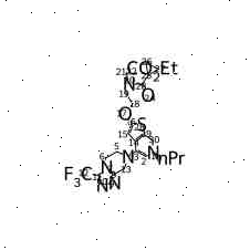 CCCN1C=C(N2CCn3c(nnc3C(F)(F)F)C2)c2cc(OCCN(CC(=O)OCC)C(=O)C3CC3)sc2C1